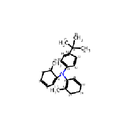 CC1=C(N(C2=CC=CCC2C)c2ccc(C(C)(C)C)cc2)C=CCC1